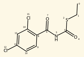 CCSC(=O)NC(=O)c1ccc(Cl)cc1Cl